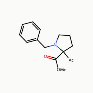 COC(=O)C1(C(C)=O)CCCN1Cc1ccccc1